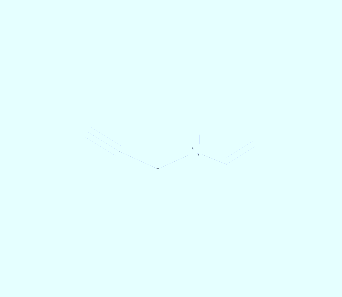 C#CCNC=C